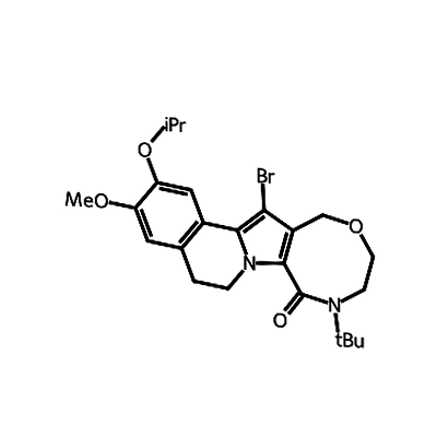 COc1cc2c(cc1OC(C)C)-c1c(Br)c3c(n1CC2)C(=O)N(C(C)(C)C)CCOC3